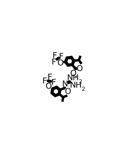 CC(C)c1ccc(OC(F)(F)F)cc1C(=O)N=C(N)N.COC(=O)c1cc(OC(F)(F)F)ccc1C(C)C